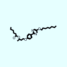 CCCCCCCCOc1cnc(-c2ccc(OCCC(C)OC(=O)CCCCC)cc2)nc1